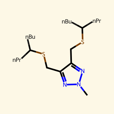 CCCCC(CCC)SCc1nn(C)nc1CSC(CCC)CCCC